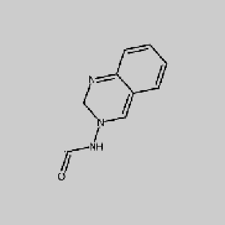 O=[C]NN1C=c2ccccc2=NC1